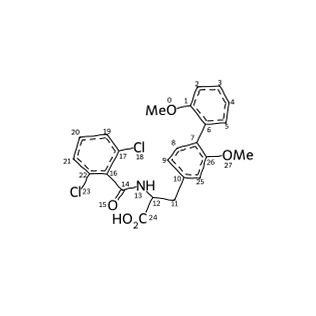 COc1ccccc1-c1ccc(CC(NC(=O)c2c(Cl)cccc2Cl)C(=O)O)cc1OC